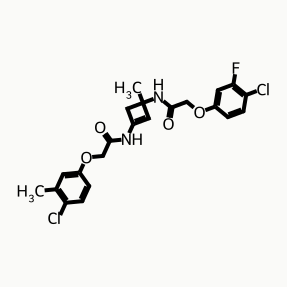 Cc1cc(OCC(=O)NC2=CC(C)(NC(=O)COc3ccc(Cl)c(F)c3)C2)ccc1Cl